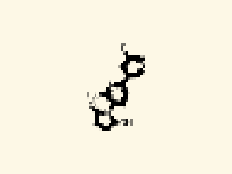 O=C1CCC(O)N1c1ccc(-c2cncc(F)c2)nc1C(F)(F)F